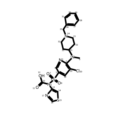 CN(c1ncc(S(=O)(=O)N(C(=O)O)c2cscn2)cc1Cl)C1CCN(Cc2ccccc2)CC1